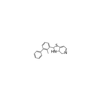 Cc1c(-c2ccccc2)cccc1C1NC2CN=CC=C2S1